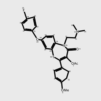 COC1=CC=C(C2=C(OC(C)=O)C(=O)N(CCN(C)C)c3ccc(Oc4ccc(F)cc4)cc3S2)CC1